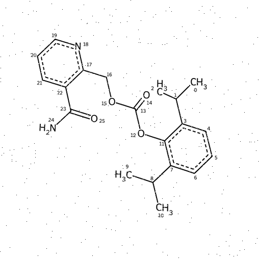 CC(C)c1cccc(C(C)C)c1OC(=O)OCc1ncccc1C(N)=O